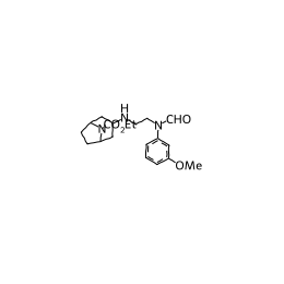 CCOC(=O)N1C2CCC1CC(NCCN(C=O)c1cccc(OC)c1)C2